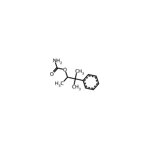 CC(OC(N)=O)C(C)(C)c1ccccc1